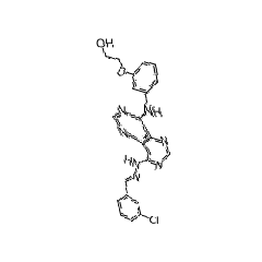 OCCOc1cccc(Nc2ncnc3c(NN=Cc4cccc(Cl)c4)ncnc23)c1